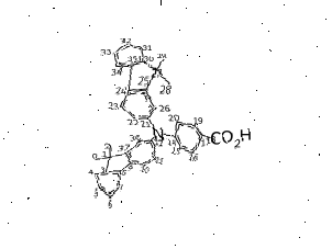 CC1(C)c2ccccc2-c2ccc(N(c3ccc(C(=O)O)cc3)c3ccc4c(c3)C(C)(C)c3ccccc3-4)cc21